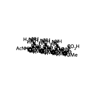 COc1ccc(NC(=O)[C@@H](CCCNC(=N)N)NC(=O)c2cc(NC(=O)[C@@H](CCCNC(=N)N)NC(=O)c3cc(NC(=O)[C@@H](CCCNC(=N)N)NC(=O)c4cc(NC(C)=O)ccc4OC)ccc3OC)ccc2OC)cc1C(=O)NCC(=O)O